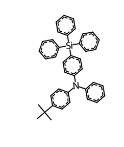 CC(C)(C)c1ccc(N(c2ccccc2)c2ccc([Si](c3ccccc3)(c3ccccc3)c3ccccc3)cc2)cc1